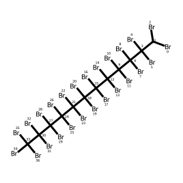 Br[C](Br)C(Br)(Br)C(Br)(Br)C(Br)(Br)C(Br)(Br)C(Br)(Br)C(Br)(Br)C(Br)(Br)C(Br)(Br)C(Br)(Br)C(Br)(Br)C(Br)(Br)Br